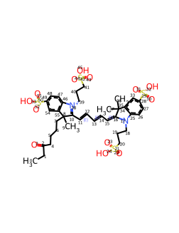 CCC(=O)CCCCC1(C)C(/C=C/C=C/C=C2/N(CCCS(=O)(=O)O)c3ccc(S(=O)(=O)O)cc3C2(C)C)=[N+](CCCS(=O)(=O)O)c2ccc(S(=O)(=O)O)cc21